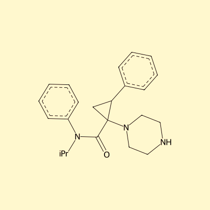 CC(C)N(C(=O)C1(N2CCNCC2)CC1c1ccccc1)c1ccccc1